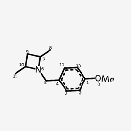 COc1ccc(CN2C(C)CC2C)cc1